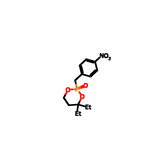 CCC1(CC)CCOP(=O)(Cc2ccc([N+](=O)[O-])cc2)O1